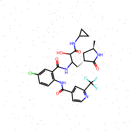 C[C@@H]1C[C@@H](CC(NC(=O)c2cc(Cl)ccc2NC(=O)c2ccnc(C(F)(F)F)c2)C(O)C(=O)NC2CC2)C(=O)N1